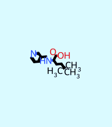 CC(C)(C)CCC(NCc1cccnc1)C(=O)O